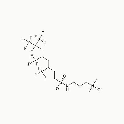 C[N+](C)([O-])CCCNS(=O)(=O)CCC(CC(CC(F)(C(F)(F)F)C(F)(F)F)C(F)(F)F)C(F)(F)F